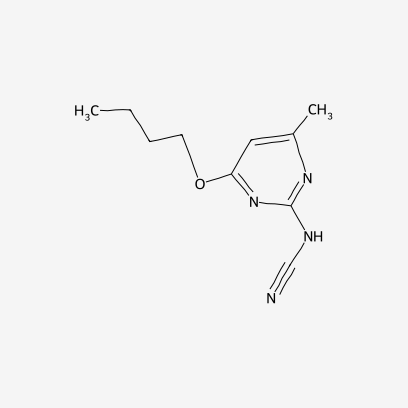 CCCCOc1cc(C)nc(NC#N)n1